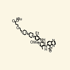 CCc1cc(Nc2ncc(C)c(Nc3ccc4nccnc4c3P(C)(C)=O)n2)c(OC)cc1N1CCC(N2CCN(CCOCCC(=O)OC(C)(C)C)CC2)CC1